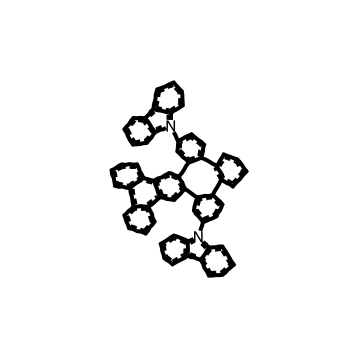 c1ccc2c(c1)-c1ccc(-n3c4ccccc4c4ccccc43)cc1-c1cc3c4ccccc4c4ccccc4c3cc1-c1cc(-n3c4ccccc4c4ccccc43)ccc1-2